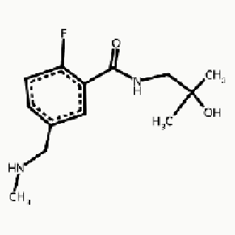 CNCc1ccc(F)c(C(=O)NCC(C)(C)O)c1